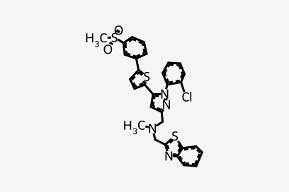 CN(Cc1cc(-c2ccc(-c3cccc(S(C)(=O)=O)c3)s2)n(-c2ccccc2Cl)n1)Cc1nc2ccccc2s1